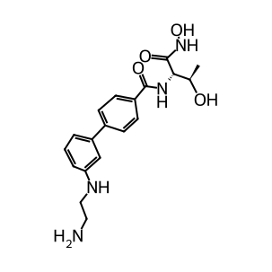 C[C@@H](O)[C@H](NC(=O)c1ccc(-c2cccc(NCCN)c2)cc1)C(=O)NO